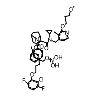 COCCCOc1nccc(CN(C(=O)C2=C(c3ccc(CCCOc4c(F)ccc(F)c4Cl)cc3)CC3CCC2N3C(=O)Oc2cccc(CON(O)O)c2)C2CC2)c1C